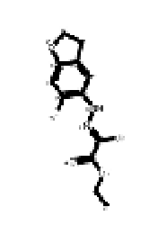 CCOC(=O)C(Cl)=NNc1cc2c(cc1F)OCC2